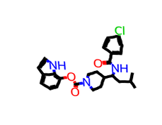 CC(C)CC(NC(=O)c1ccc(Cl)cc1)C1CCN(C(=O)Oc2cccc3cc[nH]c23)CC1